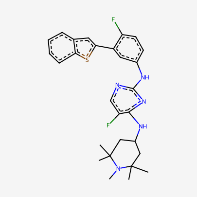 CN1C(C)(C)CC(Nc2nc(Nc3ccc(F)c(-c4cc5ccccc5s4)c3)ncc2F)CC1(C)C